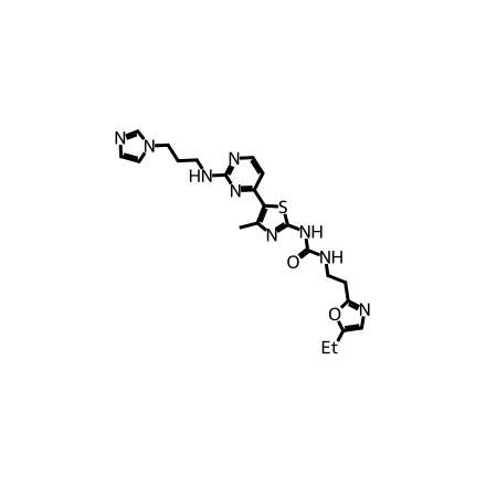 CCc1cnc(CCNC(=O)Nc2nc(C)c(-c3ccnc(NCCCn4ccnc4)n3)s2)o1